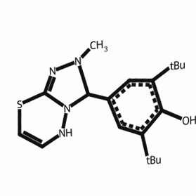 CN1N=C2SC=CNN2C1c1cc(C(C)(C)C)c(O)c(C(C)(C)C)c1